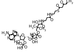 C=CC(=O)CC(=O)SCCNC(=O)CCNC(=O)C(O)C(C)(C)COP(=O)(O)OP(=O)(O)OC[C@H]1O[C@@H](n2cnc3c(N)ncnc32)[C@H](O)[C@@H]1OP(=O)(O)O